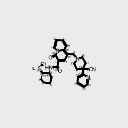 C[S@+]([O-])[C@@H]1CCCC[C@H]1NC(=O)c1cc(CN2CCC(C#N)(c3ccccn3)CC2)c2ccccn2c1=O